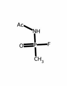 CC(=O)NP(C)(=O)F